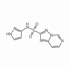 O=S(=O)(Nc1cc[nH]n1)c1nc2ccncn2n1